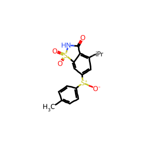 Cc1ccc([S+]([O-])c2cc(C(C)C)c3c(c2)S(=O)(=O)NC3=O)cc1